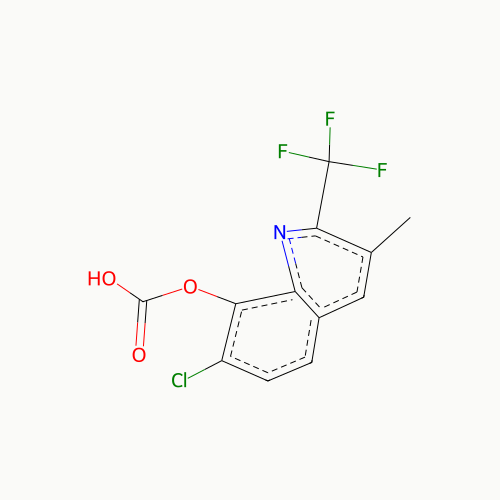 Cc1cc2ccc(Cl)c(OC(=O)O)c2nc1C(F)(F)F